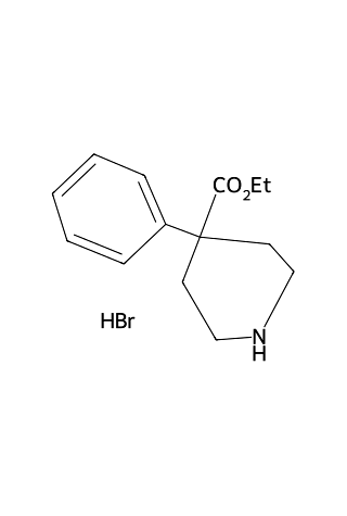 Br.CCOC(=O)C1(c2ccccc2)CCNCC1